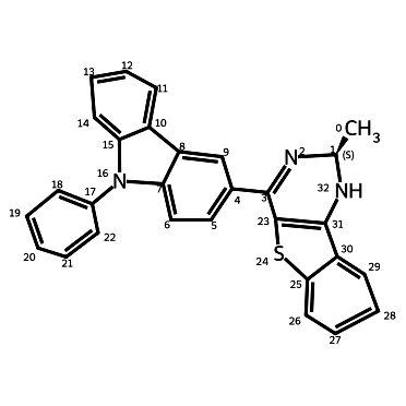 C[C@@H]1N=C(c2ccc3c(c2)c2ccccc2n3-c2ccccc2)c2sc3ccccc3c2N1